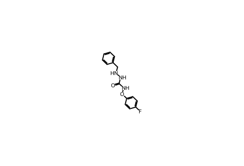 O=C(NNCc1ccccc1)NOc1ccc(F)cc1